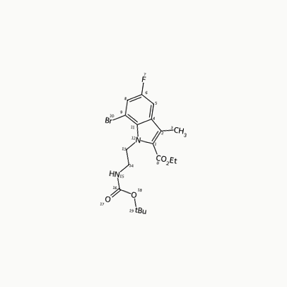 CCOC(=O)c1c(C)c2cc(F)cc(Br)c2n1CCNC(=O)OC(C)(C)C